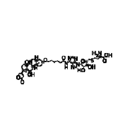 C[C@]12CC[C@@H](OCCCCCC(=O)Nc3ncnc4c3ncn4C3O[C@H](CSCC[C@H](N)C(=O)O)[C@@H](O)C3O)C[C@H]1CCC1[C@@H]2C[C@@H](O)[C@]2(C)[C@@H](C3=CC(=O)OC3)CC[C@]12O